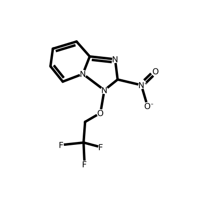 O=[N+]([O-])C1N=C2C=CC=CN2N1OCC(F)(F)F